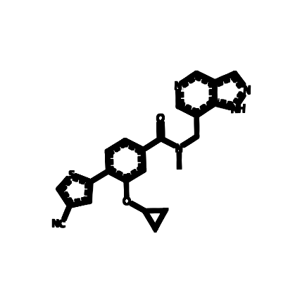 CN(Cc1cncc2cn[nH]c12)C(=O)c1ccc(-c2cc(C#N)cs2)c(OC2CC2)c1